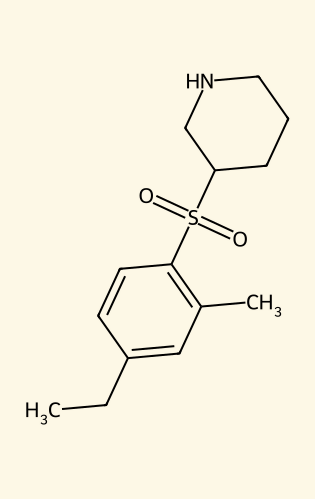 CCc1ccc(S(=O)(=O)C2CCCNC2)c(C)c1